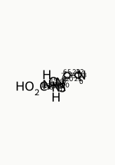 Cc1cc(-c2cccc(-c3csc(NC(=O)CNC(=O)O)n3)c2)ccn1